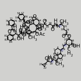 C=C1/C(=C\C=C2/CCC[C@@]3(C)C2CCC3[C@@H](C)/C=C/C(O)C2CC2)C[C@@H](OC(=O)CCC/C(C)=N/NC(=O)CCC(=O)OC2CC3OCC3(OC(C)=O)C3C(OC(=O)c4ccccc4)C4(O)CC(OC(=O)C(O)C(NC(=O)c5ccccc5)c5ccccc5)C(C)=C(C(OC(C)=O)C(=O)C23C)C4(C)C)C[C@@H]1O